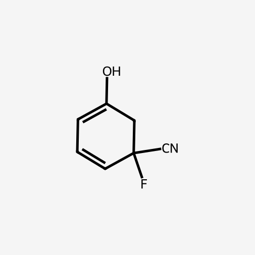 N#CC1(F)C=CC=C(O)C1